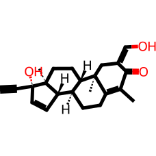 C#C[C@]1(O)C=C[C@H]2[C@@H]3CCC4=C(C)C(=O)/C(=C\O)C[C@]4(C)[C@H]3CC[C@@]21C